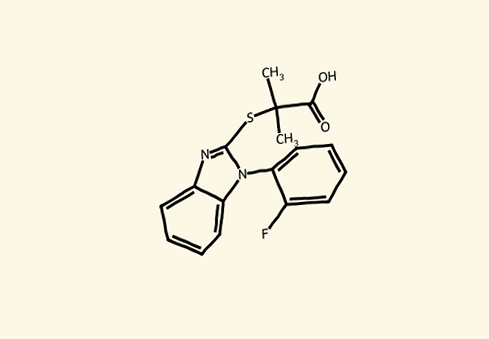 CC(C)(Sc1nc2ccccc2n1-c1ccccc1F)C(=O)O